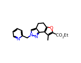 CCOC(=O)c1oc2c(c1C)-c1nn(Cc3ccccn3)cc1CC2